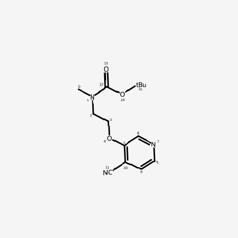 CN(CCOc1cnccc1C#N)C(=O)OC(C)(C)C